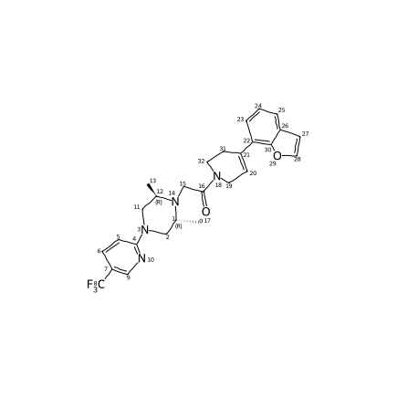 C[C@@H]1CN(c2ccc(C(F)(F)F)cn2)C[C@@H](C)N1CC(=O)N1CC=C(c2cccc3ccoc23)CC1